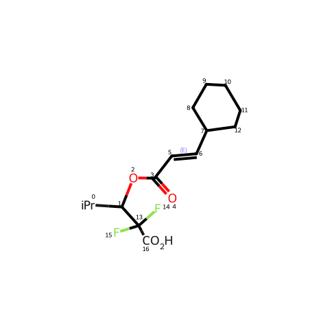 CC(C)C(OC(=O)/C=C/C1CCCCC1)C(F)(F)C(=O)O